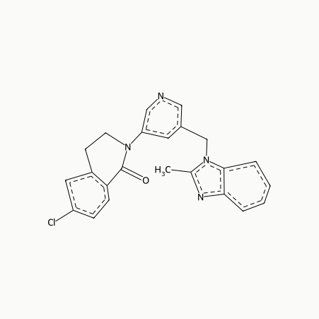 Cc1nc2ccccc2n1Cc1cncc(N2CCc3cc(Cl)ccc3C2=O)c1